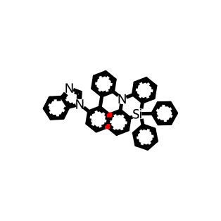 c1ccc([Si]2(c3ccccc3)c3ccccc3N(c3ccccc3-c3ccccc3-n3cnc4ccccc43)c3ccccc32)cc1